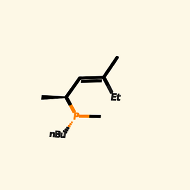 CCCC[P@@](C)[C@@H](C)/C=C(/C)CC